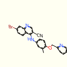 Cc1cc(Nc2c(C#N)cnc3cc(Br)ccc23)ccc1OCc1ccccn1